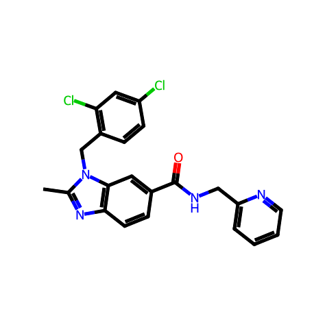 Cc1nc2ccc(C(=O)NCc3ccccn3)cc2n1Cc1ccc(Cl)cc1Cl